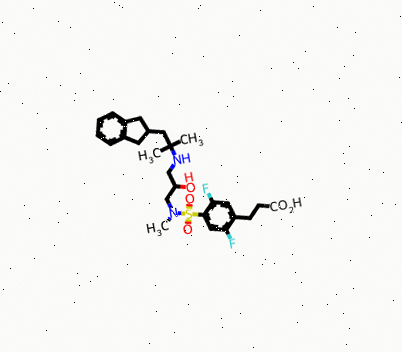 CN(CC(O)CNC(C)(C)CC1Cc2ccccc2C1)S(=O)(=O)c1cc(F)c(CCC(=O)O)cc1F